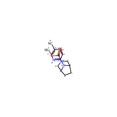 CC(C)(C)OC(=O)N1CC2CCC(C1)N2c1ccc(C#N)cn1